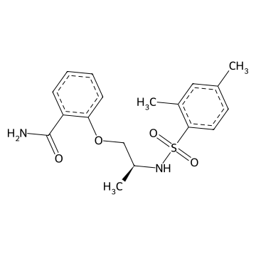 Cc1ccc(S(=O)(=O)N[C@@H](C)COc2ccccc2C(N)=O)c(C)c1